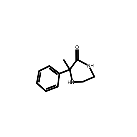 CC1(c2ccccc2)NCCNC1=O